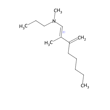 C=C(CCCCC)/C(C)=C/N(C)CCC